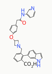 O=C(Cc1ccc(OC2CN(Cc3cccc(C(=O)O)c3-c3ccc4cc[nH]c4c3)C2)cc1)Nc1cccnc1